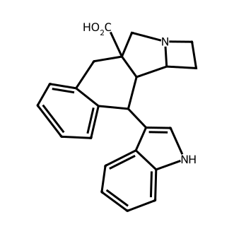 O=C(O)C12Cc3ccccc3C(c3c[nH]c4ccccc34)C1C1CCN1C2